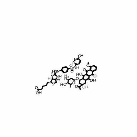 COc1ccc(NS(=O)(=O)c2ccc(N)cc2)nn1.COc1cccc2c1C(=O)c1c(O)c3c(c(O)c1C2=O)C[C@@](O)(C(C)=O)C[C@@H]3O[C@H]1C[C@H](N)[C@H](O)[C@H](C)O1.O=C(O)CCCC[C@@H]1SC[C@@H]2NC(=O)N[C@@H]21